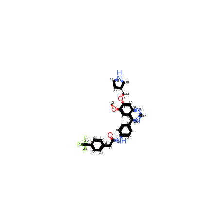 COc1cc2c(-c3ccc(NC(=O)Cc4ccc(C(F)(F)F)cc4)cc3)ncnc2cc1OC[C@@H]1CCNC1